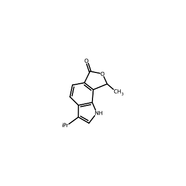 CC(C)c1c[nH]c2c3c(ccc12)C(=O)OC3C